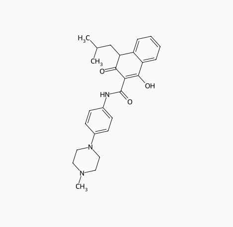 CC(C)CC1C(=O)C(C(=O)Nc2ccc(N3CCN(C)CC3)cc2)=C(O)c2ccccc21